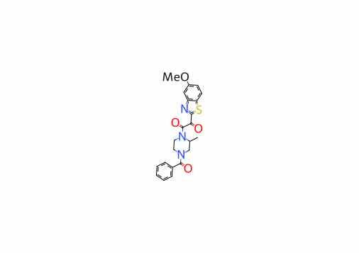 COc1ccc2sc(C(=O)C(=O)N3CCN(C(=O)c4ccccc4)CC3C)nc2c1